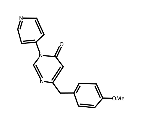 COc1ccc(Cc2cc(=O)n(-c3ccncc3)cn2)cc1